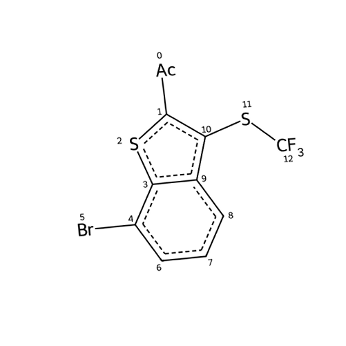 CC(=O)c1sc2c(Br)cccc2c1SC(F)(F)F